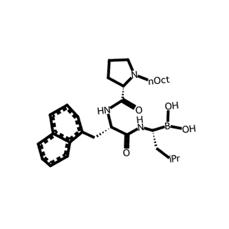 CCCCCCCCN1CCC[C@H]1C(=O)N[C@@H](Cc1cccc2ccccc12)C(=O)N[C@@H](CC(C)C)B(O)O